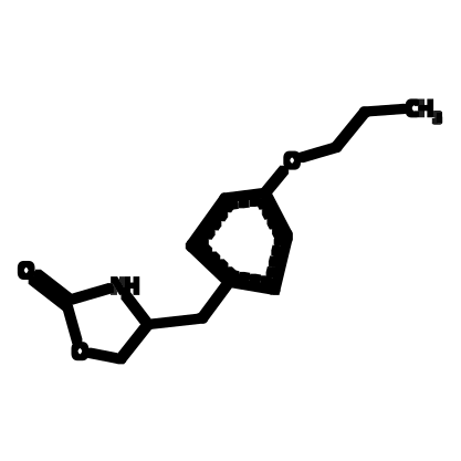 CCCOc1ccc(CC2COC(=O)N2)cc1